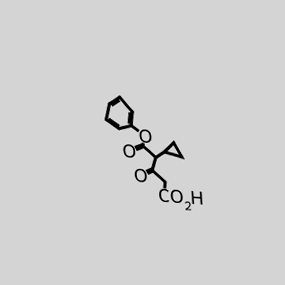 O=C(O)CC(=O)C(C(=O)Oc1ccccc1)C1CC1